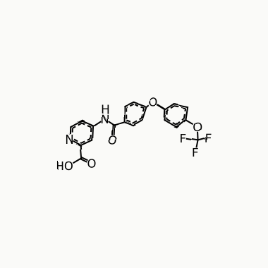 O=C(Nc1ccnc(C(=O)O)c1)c1ccc(Oc2ccc(OC(F)(F)F)cc2)cc1